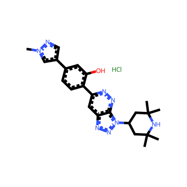 Cl.Cn1cc(-c2ccc(-c3cc4nnn(C5CC(C)(C)NC(C)(C)C5)c4nn3)c(O)c2)cn1